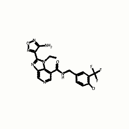 CCn1c(-c2nonc2N)nc2cncc(C(=O)NCc3ccc(Cl)c(C(F)(F)F)c3)c21